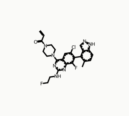 C=CC(=O)N1CCN(c2nc(NCCF)nc3c(F)c(-c4c(C)ccc5[nH]ncc45)c(Cl)cc23)CC1